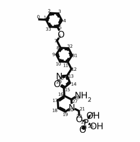 Cc1cccc(OCc2ccc(Cc3cc(C4=CC=CN(COP(=O)(O)O)C4N)on3)cc2)c1